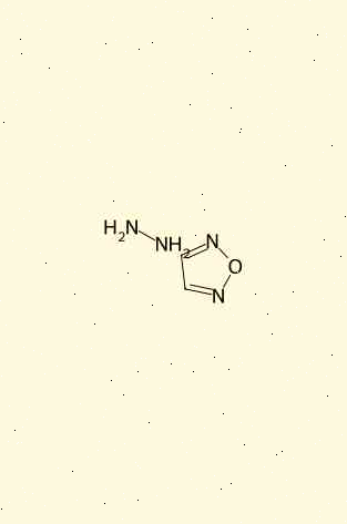 NN.c1cnon1